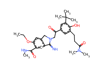 Br.CCOc1cc2c(cc1C(=O)NC)C(=N)N(CC(=O)c1cc(CCC(=O)N(C)C)c(O)c(C(C)(C)C)c1)C2